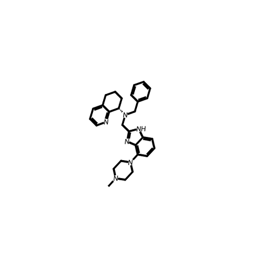 CN1CCN(c2cccc3[nH]c(CN(Cc4ccccc4)[C@H]4CCCc5cccnc54)nc23)CC1